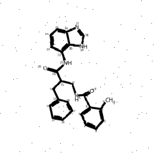 Cc1ccccc1C(=O)NCC(Cc1ccccc1)C(=O)Nc1cccc2nc[nH]c12